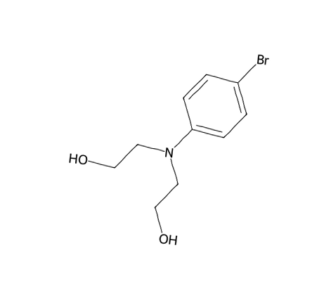 OCCN(CCO)c1ccc(Br)cc1